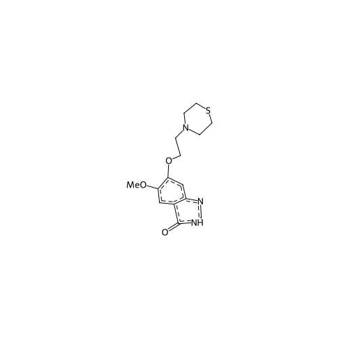 COc1cc2c(=O)[nH]cnc2cc1OCCN1CCSCC1